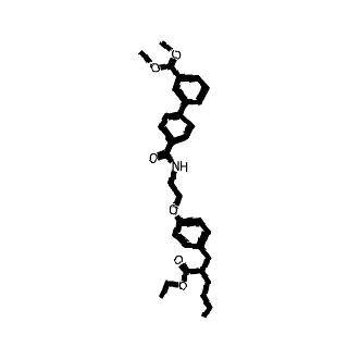 CCCCC(Cc1ccc(OCCNC(=O)c2ccc(-c3cccc(C(OC)OC)c3)cc2)cc1)C(=O)OCC